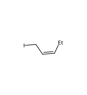 CC/C=C\CI